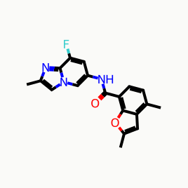 Cc1cn2cc(NC(=O)c3ccc(C)c4cc(C)oc34)cc(F)c2n1